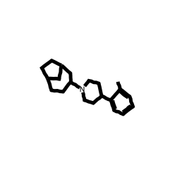 Cc1ccccc1C1CCN(C2CCC3CCC(C3)C2)CC1